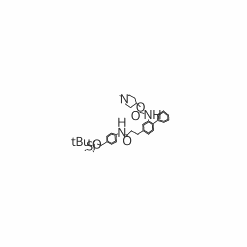 CN1CCC(OC(=O)Nc2cc(CCC(=O)Nc3ccc(CO[Si](C)(C)C(C)(C)C)cc3)ccc2-c2ccccc2)CC1